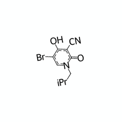 CC(C)Cn1cc(Br)c(O)c(C#N)c1=O